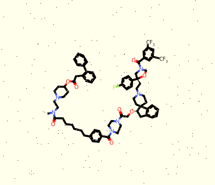 CN(CCN1CCC(OC(=O)Cc2ccccc2-c2ccccc2)CC1)C(=O)CCCCCCc1ccc(C(=O)N2CCN(C(=O)CO[C@H]3Cc4ccccc4C34CCN(CC[C@@]3(c5ccc(F)cc5)CN(C(=O)c5cc(C(F)(F)F)cc(C(F)(F)F)c5)CO3)CC4)CC2)cc1